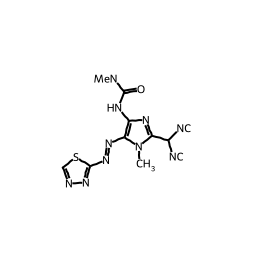 [C-]#[N+]C([N+]#[C-])c1nc(NC(=O)NC)c(/N=N/c2nncs2)n1C